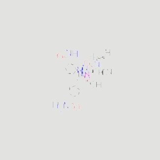 Cc1nnc(C2(C[C@H](C)NCC(=O)N3C(C#N)C[C@@H]4C[C@@H]43)c3ccc(C(N)=O)cc3CCc3cc(C(N)=O)ccc32)o1